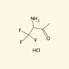 CC(=O)C(N)C(F)(F)F.Cl